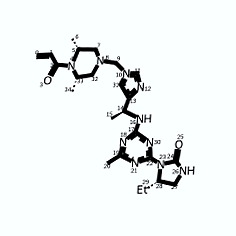 C=CC(=O)N1[C@H](C)CN(Cn2cnc([C@H](C)Nc3nc(C)nc(N4C(=O)NC[C@@H]4CC)n3)c2)C[C@@H]1C